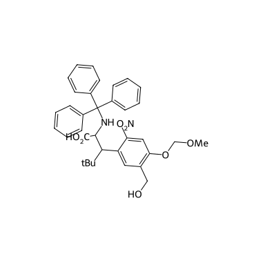 COCOc1cc([N+](=O)[O-])c(C(C(NC(c2ccccc2)(c2ccccc2)c2ccccc2)C(=O)O)C(C)(C)C)cc1CO